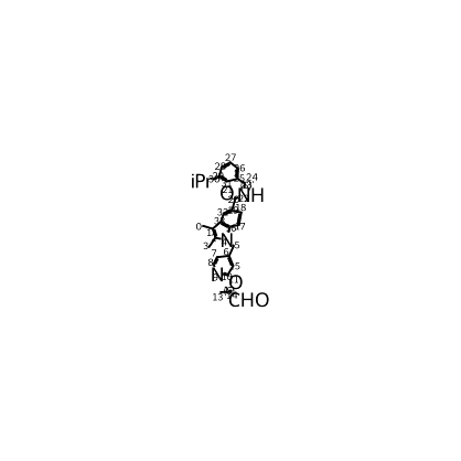 Cc1c(C)n(Cc2ccnc(O[C@@H](C)C=O)c2)c2ccc(C(=O)N[C@@H](C)c3cccc(C(C)C)c3)cc12